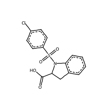 O=C(O)C1Cc2ccccc2N1S(=O)(=O)c1ccc(Cl)cc1